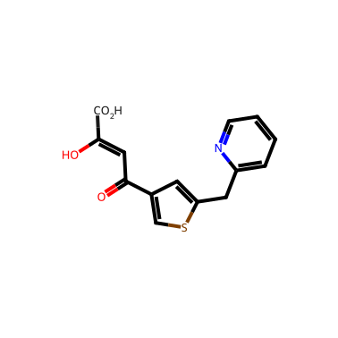 O=C(O)/C(O)=C/C(=O)c1csc(Cc2ccccn2)c1